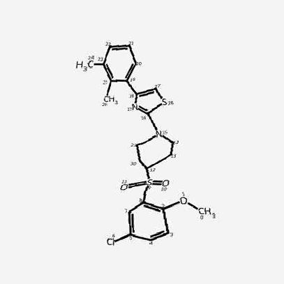 COc1ccc(Cl)cc1S(=O)(=O)C1CCN(c2nc(-c3cccc(C)c3C)cs2)CC1